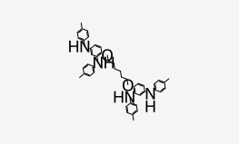 Cc1ccc(Nc2ccc(OCCCCCCOc3ccc(Nc4ccc(C)cc4)cc3Nc3ccc(C)cc3)c(Nc3ccc(C)cc3)c2)cc1